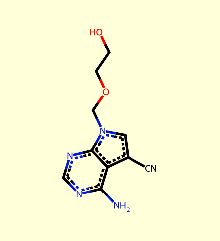 N#Cc1cn(COCCO)c2ncnc(N)c12